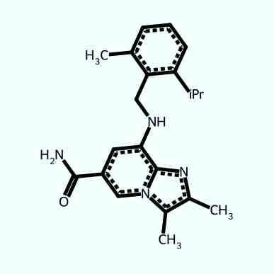 Cc1cccc(C(C)C)c1CNc1cc(C(N)=O)cn2c(C)c(C)nc12